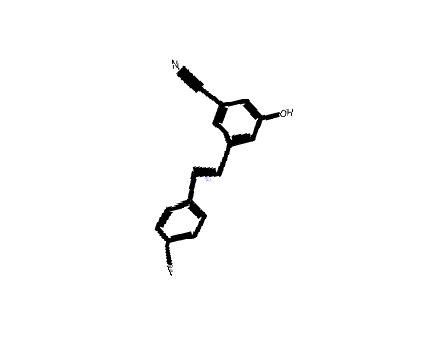 N#Cc1cc(O)cc(/C=C/c2ccc(F)cc2)c1